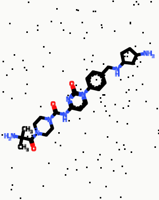 CC(C)(N)C(=O)N1CCN(C(=O)Nc2ccn(-c3ccc(CNC4CCC(N)C4)cc3)c(=O)n2)CC1